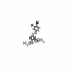 COc1ncc(CSc2ccc(C#N)c(F)c2)nc1OC